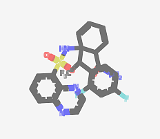 NC(=O)C1C=CC=CC1(NS(=O)(=O)c1cccc2nccnc12)C(c1ccc(F)cc1F)C(F)(F)F